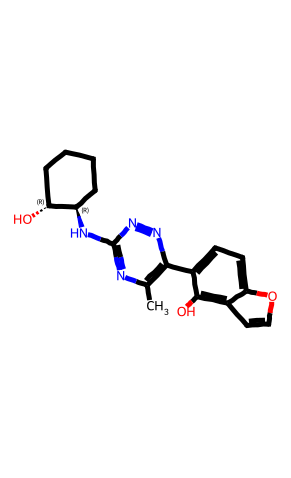 Cc1nc(N[C@@H]2CCCC[C@H]2O)nnc1-c1ccc2occc2c1O